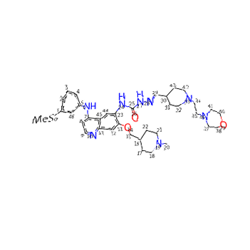 CSc1cccc(Nc2ccnc3cc(OCC4CCN(C)CC4)c(NC(=O)N/N=C/C4CCN(CCN5CCOCC5)CC4)cc23)c1